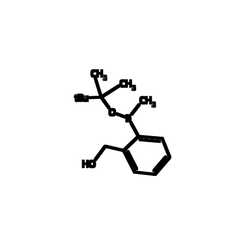 CB(OC(C)(C)C(C)(C)C)c1ccccc1CO